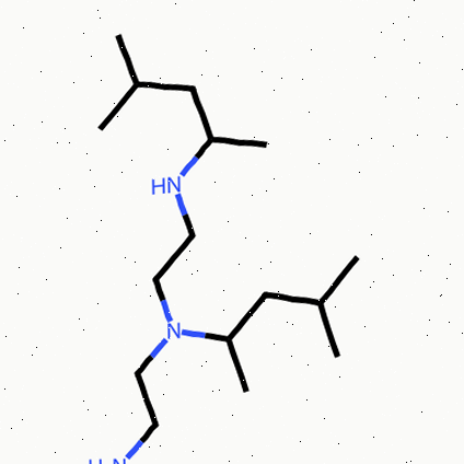 CC(C)CC(C)NCCN(CCN)C(C)CC(C)C